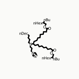 CCCCCCCCCCCCCCN(CCCn1c#[n+]cc1)C(CCCCCCCCC(=O)OCC(CCCC)CCCCCC)CCCCCCCCC(=O)OCC(CCCC)CCCCCC